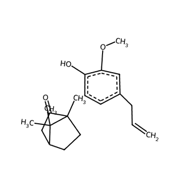 C=CCc1ccc(O)c(OC)c1.CC12CCC(CC1=O)C2(C)C